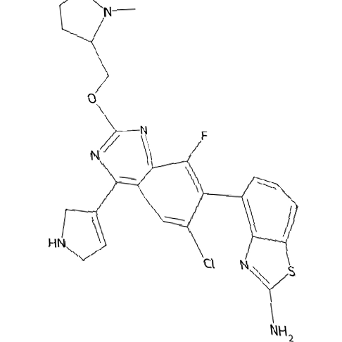 CN1CCCC1COc1nc(C2=CCNC2)c2cc(Cl)c(-c3cccc4sc(N)nc34)c(F)c2n1